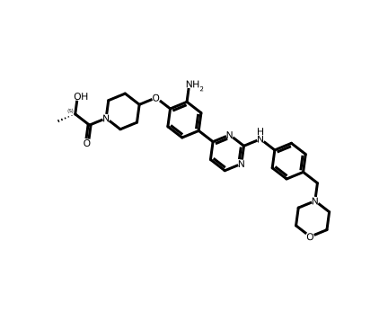 C[C@H](O)C(=O)N1CCC(Oc2ccc(-c3ccnc(Nc4ccc(CN5CCOCC5)cc4)n3)cc2N)CC1